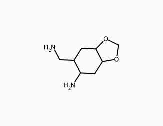 NCC1CC2OCOC2CC1N